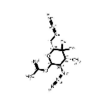 CC(=N)OC1O[C@H](CN=[N+]=[N-])C(F)(F)[C@H](C)[C@H]1N=[N+]=[N-]